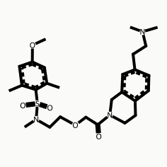 COc1cc(C)c(S(=O)(=O)N(C)CCOCC(=O)N2CCc3ccc(CCN(C)C)cc3C2)c(C)c1